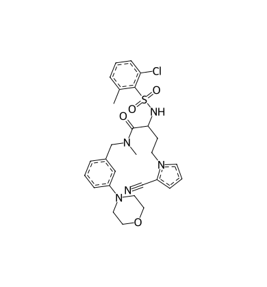 Cc1cccc(Cl)c1S(=O)(=O)NC(CCn1cccc1C#N)C(=O)N(C)Cc1cccc(N2CCOCC2)c1